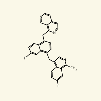 Cc1ncc(Cc2ccc(Cc3nccc4ccncc34)c3ccc(F)cc23)c2ccc(F)cc12